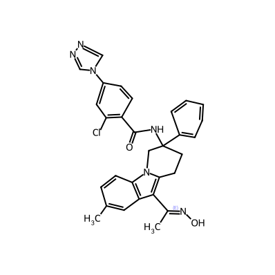 C/C(=N\O)c1c2n(c3ccc(C)cc13)CC(NC(=O)c1ccc(-n3cnnc3)cc1Cl)(c1ccccc1)CC2